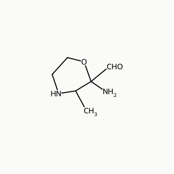 CC1NCCOC1(N)C=O